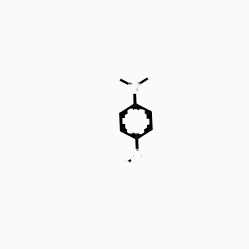 CN(C)c1ccc(OC=O)cc1